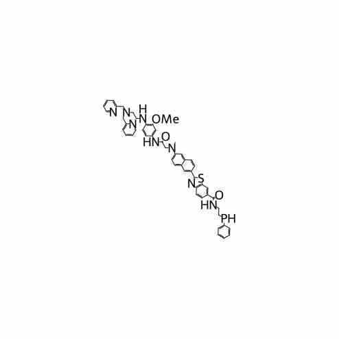 COc1cc(NC(=O)CN(C)c2ccc3cc(-c4nc5ccc(C(=O)NCCPc6ccccc6)cc5s4)ccc3c2)ccc1NCCN(Cc1ccccn1)Cc1ccccn1